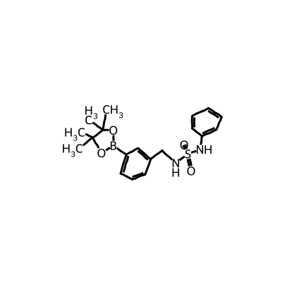 CC1(C)OB(c2cccc(CNS(=O)(=O)Nc3ccccc3)c2)OC1(C)C